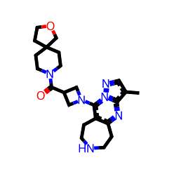 Cc1cnn2c(N3CC(C(=O)N4CCC5(CCOC5)CC4)C3)c3c(nc12)CCNCC3